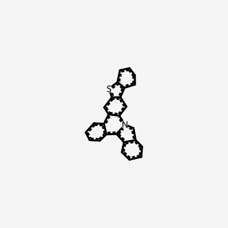 c1ccc2c(c1)cn1c3cc4c(cc3c3ccccc3c21)sc1ccccc14